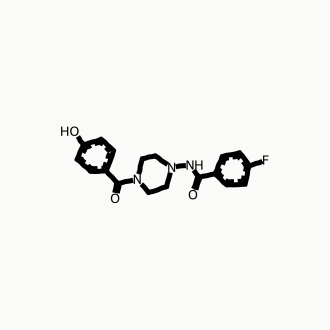 O=C(NN1CCN(C(=O)c2ccc(O)cc2)CC1)c1ccc(F)cc1